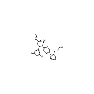 CCOC(=O)CC(c1cc(F)cc(F)c1)C(C#N)c1ccc(-c2ccccc2CCCOC)cc1C